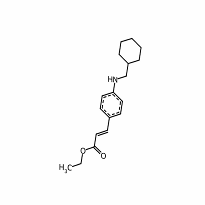 CCOC(=O)/C=C/c1ccc(NCC2CCCCC2)cc1